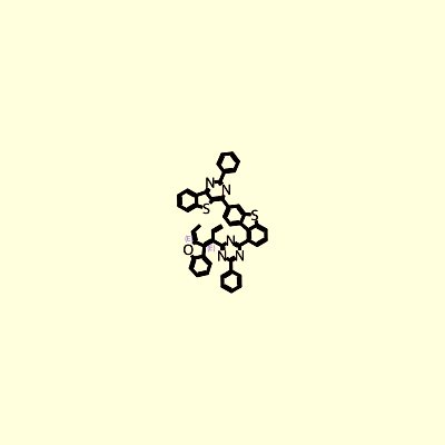 C=C/C(c1nc(-c2ccccc2)nc(-c2cccc3sc4cc(-c5nc(-c6ccccc6)nc6c5sc5ccccc56)ccc4c23)n1)=c1\c(=C/C)oc2ccccc12